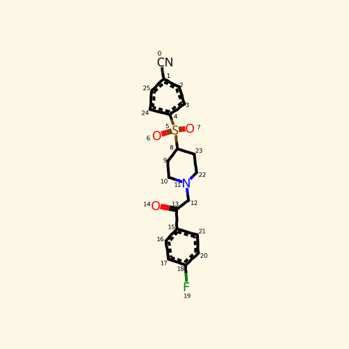 N#Cc1ccc(S(=O)(=O)C2CCN(CC(=O)c3ccc(F)cc3)CC2)cc1